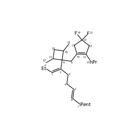 CC/C=C(/CC/C=C/C(C)CCC)C1(CC2=C(CCC)CC(F)(F)C2)C(C)CC1C